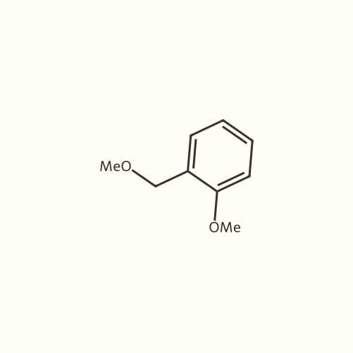 [CH2]OCc1ccccc1OC